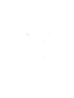 CC(C)(C)OC(=O)C1C(COS(C)(=O)=O)CC12CCNCC2